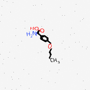 CCCCCOCc1ccc(C(N)C(=O)O)cc1